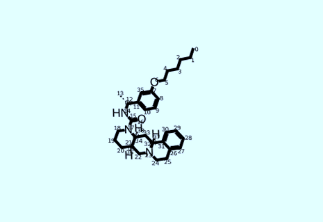 CCCCCCOc1cccc([C@@H](C)NC(=O)N2CCC[C@@H]3CN4CCc5ccccc5[C@H]4C[C@@H]32)c1